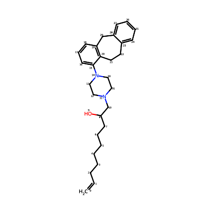 C=CCCCCCCC(O)CN1CCN(c2cccc3c2CCc2ccccc2C3)CC1